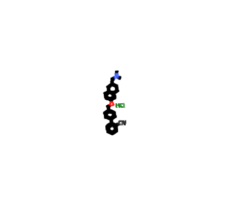 CN(C)CC1CCc2cc(OCc3ccc(-c4ccccc4C#N)cc3)ccc2C1.Cl